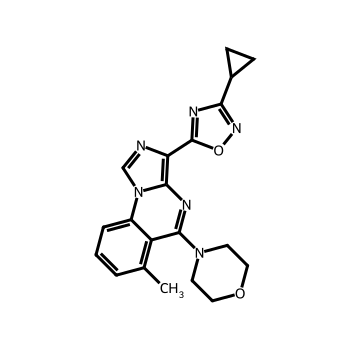 Cc1cccc2c1c(N1CCOCC1)nc1c(-c3nc(C4CC4)no3)ncn12